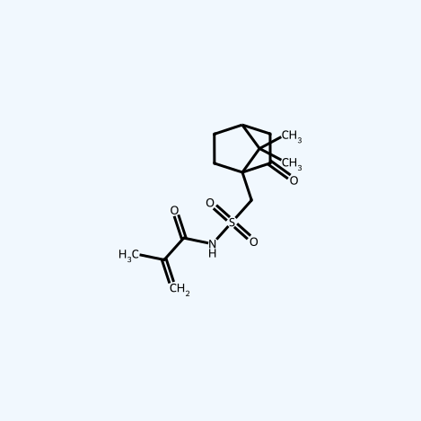 C=C(C)C(=O)NS(=O)(=O)CC12CCC(CC1=O)C2(C)C